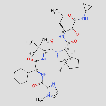 CCC[C@H](NC(=O)[C@@H]1[C@H]2CCC[C@H]2CN1C(=O)[C@@H](NC(=O)[C@@H](NC(=O)c1nccn1C)C1CCCCC1)C(C)(C)C)C(=O)C(=O)NC1CC1